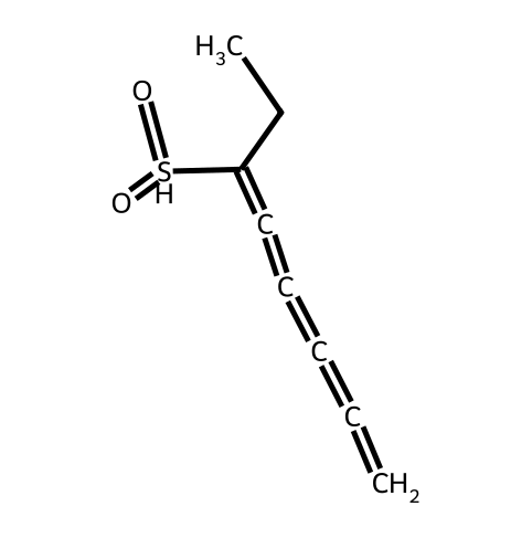 C=C=C=C=C=C(CC)[SH](=O)=O